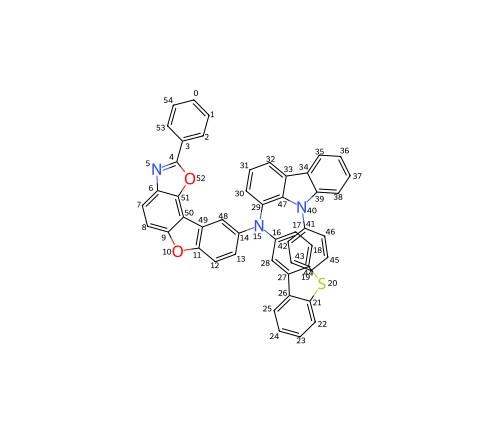 c1ccc(-c2nc3ccc4oc5ccc(N(c6ccc7sc8ccccc8c7c6)c6cccc7c8ccccc8n(-c8ccccc8)c67)cc5c4c3o2)cc1